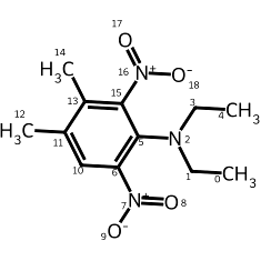 CCN(CC)c1c([N+](=O)[O-])cc(C)c(C)c1[N+](=O)[O-]